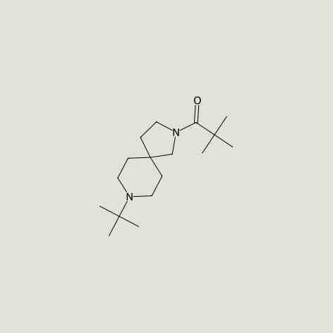 CC(C)(C)C(=O)N1CCC2(CCN(C(C)(C)C)CC2)C1